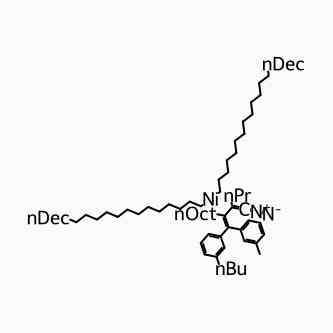 CCCCCCCCC(C(=C=[N+]=[N-])CCC)=C(c1cccc(C)c1)c1cccc(CCCC)c1.CCCCCCCCCCCCCCCCCCCCCC[CH2][Ni][CH2]CCCCCCCCCCCCCCCCCCCCCC